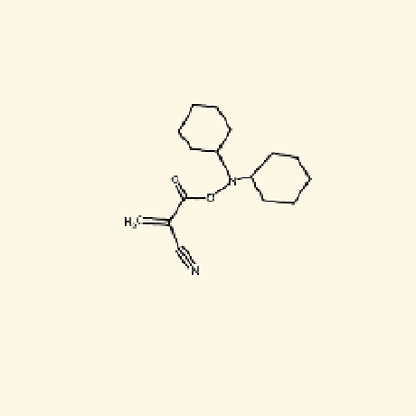 C=C(C#N)C(=O)ON(C1CCCCC1)C1CCCCC1